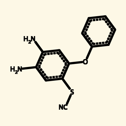 N#CSc1cc(N)c(N)cc1Oc1ccccc1